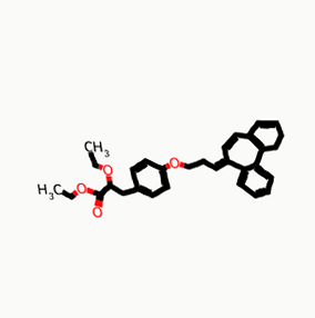 CCOC(=O)C(Cc1ccc(OCCC=C2C=CC3=C(CCC=C3)c3ccccc32)cc1)OCC